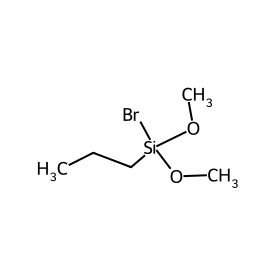 CCC[Si](Br)(OC)OC